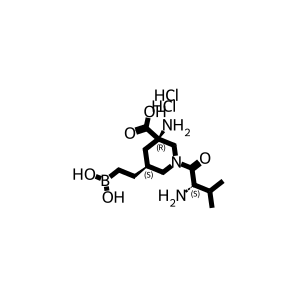 CC(C)[C@H](N)C(=O)N1C[C@@H](CCB(O)O)C[C@](N)(C(=O)O)C1.Cl.Cl